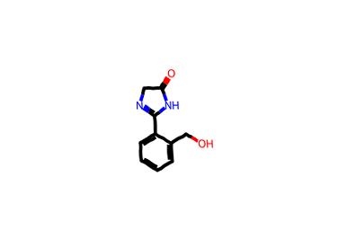 O=C1CN=C(c2ccccc2CO)N1